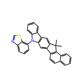 CC1(C)c2cc3c4ccccc4n(-c4cccc5ncsc45)c3cc2-c2ccc3ccccc3c21